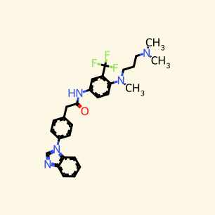 CN(C)CCCN(C)c1ccc(NC(=O)Cc2ccc(-n3cnc4ccccc43)cc2)cc1C(F)(F)F